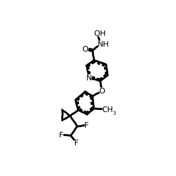 Cc1cc(C2(C(F)C(F)F)CC2)ccc1Oc1ccc(C(=O)NO)cn1